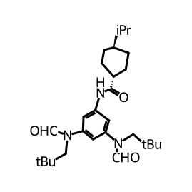 CC(C)[C@H]1CC[C@H](C(=O)Nc2cc(N(C=O)CC(C)(C)C)cc(N(C=O)CC(C)(C)C)c2)CC1